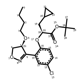 CCCCO[C@@H]1CON=C1c1cc(Cl)ccc1O[C@@H](CC1CC1)C(=O)OC(C)(C)C